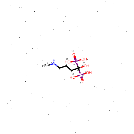 CCCNCCCC(O)(P(=O)(O)O)P(=O)(O)O